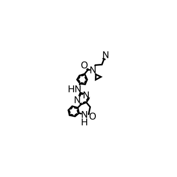 N#CCCN(C(=O)c1ccc(Nc2ncc3c(n2)-c2ccccc2NC(=O)C3)cc1)C1CC1